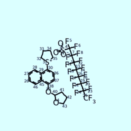 O=S(=O)([O-])C(F)(F)C(F)(F)C(F)(F)C(F)(F)C(F)(F)C(F)(F)C(F)(F)C(F)(F)F.c1ccc2c([S+]3CCCC3)ccc(OC3CCCO3)c2c1